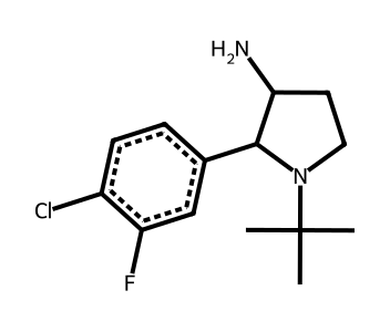 CC(C)(C)N1CCC(N)C1c1ccc(Cl)c(F)c1